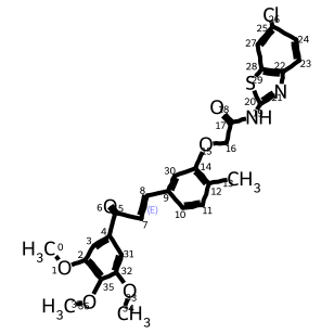 COc1cc(C(=O)/C=C/c2ccc(C)c(OCC(=O)Nc3nc4ccc(Cl)cc4s3)c2)cc(OC)c1OC